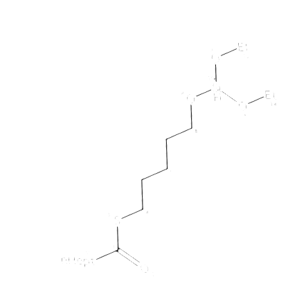 CCCCCCCC(=O)SCCCCCO[SiH](OCC)OCC